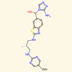 CSc1cnc(NC[C@H](C)CNc2nc3ccc(C(O)n4cnnc4N)cc3s2)nc1